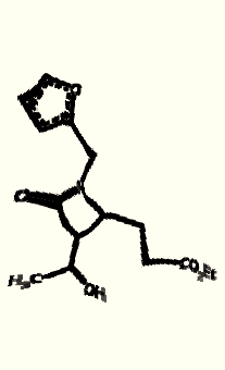 CCOC(=O)CCC1C(C(C)O)C(=O)N1Cc1ccco1